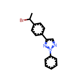 CC(Br)c1ccc(-c2cnn(-c3ccccc3)n2)cc1